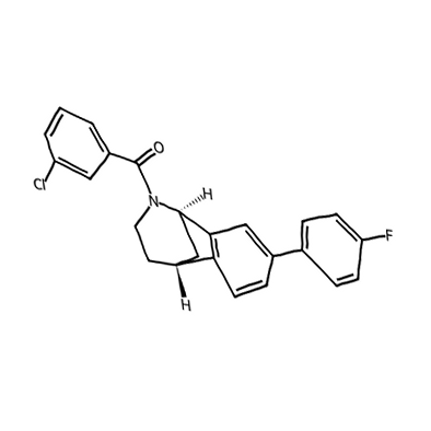 O=C(c1cccc(Cl)c1)N1CC[C@@H]2C[C@@H]1c1cc(-c3ccc(F)cc3)ccc12